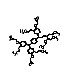 C=CCC(=C/C[C@@H](c1ccc(C(c2ccc(OCC3CO3)c(CC=C)c2)c2ccc(OCC3CO3)c(CC=C)c2)cc1)c1ccc(OCC2CO2)c(CC=C)c1)/C(=C\C)OC[C@@H]1CO1